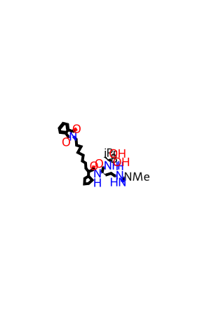 CNC(=N)NCCC[C@H](NC(=O)C(CCCCCCCCN1C(=O)c2ccccc2C1=O)C1CCCC1)C(=O)N[C@@H](CC(C)C)B(O)O